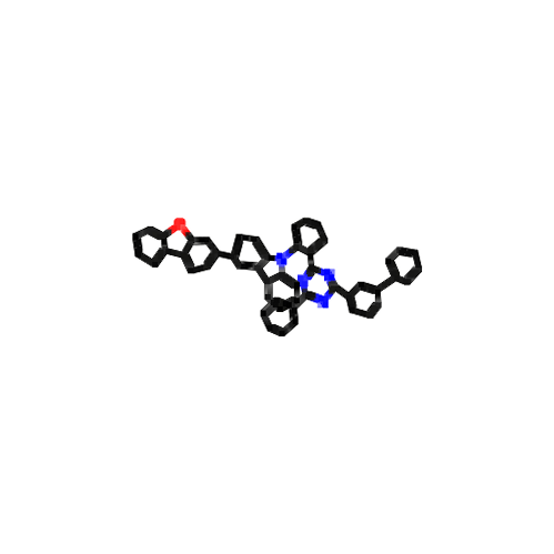 c1ccc(-c2cccc(-c3nc(-c4ccccc4)nc(-c4ccccc4-n4c5ccccc5c5cc(-c6ccc7c(c6)oc6ccccc67)ccc54)n3)c2)cc1